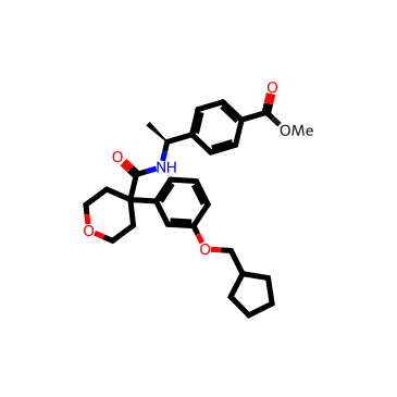 COC(=O)c1ccc([C@H](C)NC(=O)C2(c3cccc(OCC4CCCC4)c3)CCOCC2)cc1